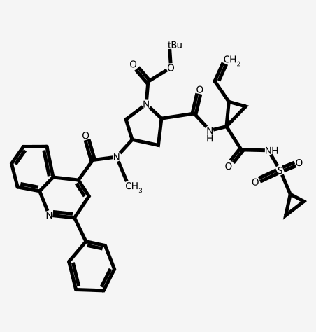 C=CC1CC1(NC(=O)C1CC(N(C)C(=O)c2cc(-c3ccccc3)nc3ccccc23)CN1C(=O)OC(C)(C)C)C(=O)NS(=O)(=O)C1CC1